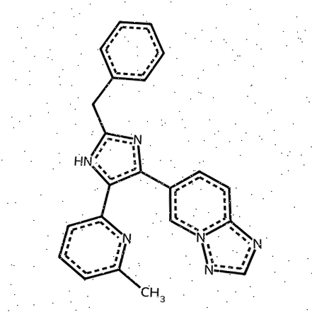 Cc1cccc(-c2[nH]c(Cc3ccccc3)nc2-c2ccc3ncnn3c2)n1